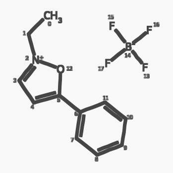 CC[n+]1ccc(-c2ccccc2)o1.F[B-](F)(F)F